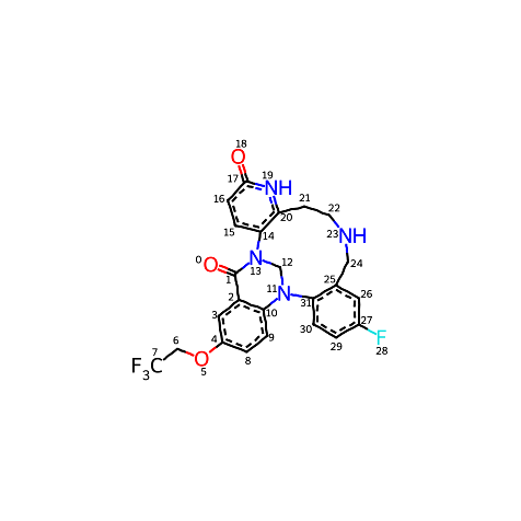 O=C1c2cc(OCC(F)(F)F)ccc2N2CN1c1ccc(=O)[nH]c1CCNCc1cc(F)ccc12